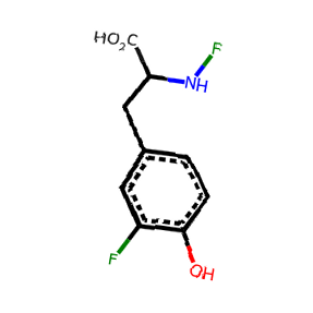 O=C(O)C(Cc1ccc(O)c(F)c1)NF